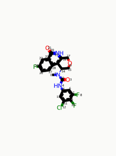 CN(C(=O)Nc1cc(F)c(F)c(Cl)c1)[C@H]1COCc2[nH]c(=O)c3cc(F)ccc3c21